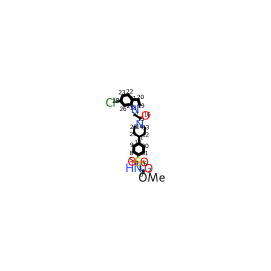 COC(=O)NS(=O)(=O)c1ccc(C2CCN(C(=O)Cn3ccc4ccc(Cl)cc43)CC2)cc1